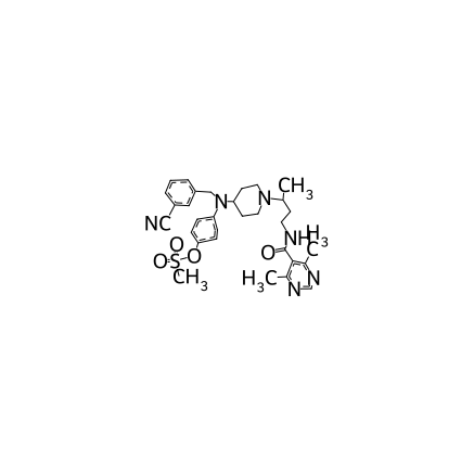 Cc1ncnc(C)c1C(=O)NCCC(C)N1CCC(N(Cc2cccc(C#N)c2)c2ccc(OS(C)(=O)=O)cc2)CC1